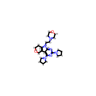 C1CCN(c2nc(N3CCCC3)c3c4c(n(CCN5CCOCC5)c3n2)CCOC4)C1